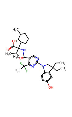 CCC1(CC)CN(c2ncc(C(=O)NC(C(=O)O)(C(C)C)C3CCCC(C)C3)c(C(C)(F)F)n2)c2ccc(O)cc21